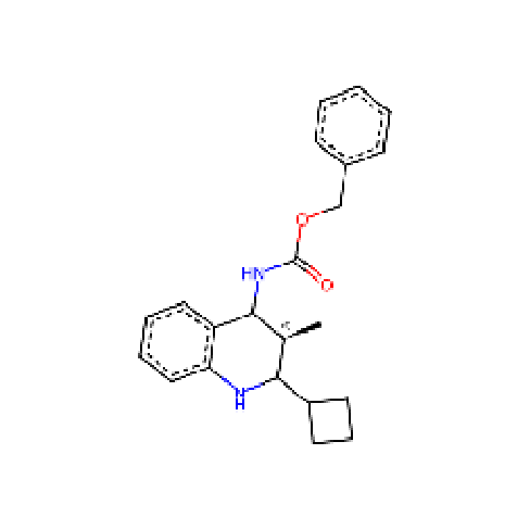 C[C@@H]1C(NC(=O)OCc2ccccc2)c2ccccc2NC1C1CCC1